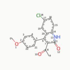 COc1ccc(-c2c(C(C)=O)c(=O)[nH]c3ccc(Cl)cc23)cc1